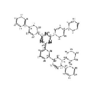 C1=CCC(C2C=CC(c3nc(C4=CCC(C5=CCCC=C5)C=C4)nc(C4=CC=CC(C5C=NC(C6C=CCCC6)=C(C6CC=CCC6)C5)C4)n3)CC2)C=C1